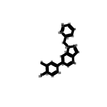 Cc1cc(-c2cnc3cnn(Cc4cccnn4)c3c2)ccc1F